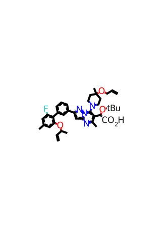 C=CCOC1(C)CCN(c2c(C(OC(C)(C)C)C(=O)O)c(C)nc3cc(-c4cccc(-c5c(F)cc(C)cc5OC(C)C=C)c4)nn23)CC1